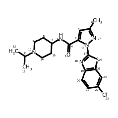 Cc1cc(C(=O)NC2CCN(C(C)C)CC2)n(-c2nc3ccc(Cl)cc3s2)n1